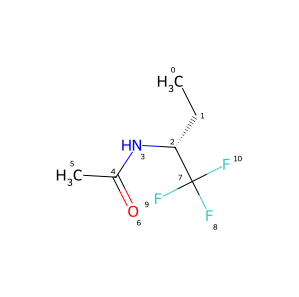 CC[C@@H](NC(C)=O)C(F)(F)F